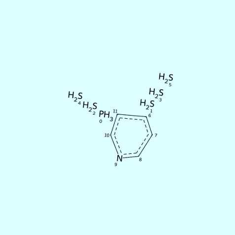 P.S.S.S.S.S.c1ccncc1